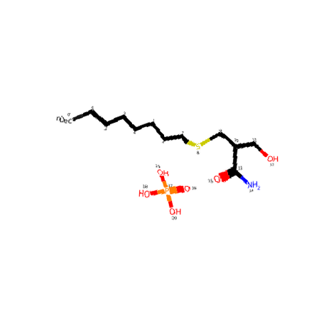 CCCCCCCCCCCCCCCCCSCC(CO)C(N)=O.O=P(O)(O)O